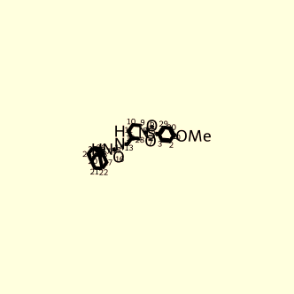 COc1ccc(S(=O)(=O)N2CCCC(CNC(=O)NC34CC5CC(CC(C5)C3)C4)C2)cc1